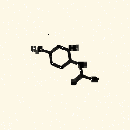 CC1CCC(NC(=O)C(C)C)CC1.Cl